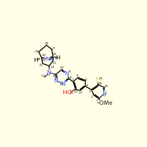 COc1cc(-c2ccc(-c3ncc(N(C)C4C[C@H]5CCC[C@H](C4)N5)nn3)c(O)c2)c(F)cn1